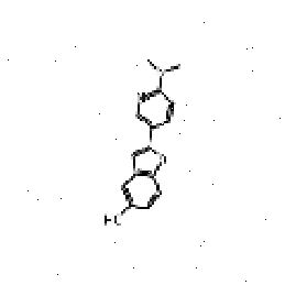 CN(C)c1ccc(-c2cc3cc(O)ccc3o2)cn1